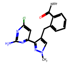 CNC(=O)c1ccccc1Cc1cn(C)nc1-c1cc(Cl)nc(N)n1